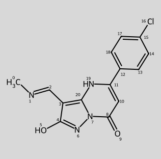 C/N=C/c1c(O)nn2c(=O)cc(-c3ccc(Cl)cc3)[nH]c12